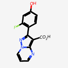 O=C(O)c1c(-c2ccc(O)cc2F)nn2cccnc12